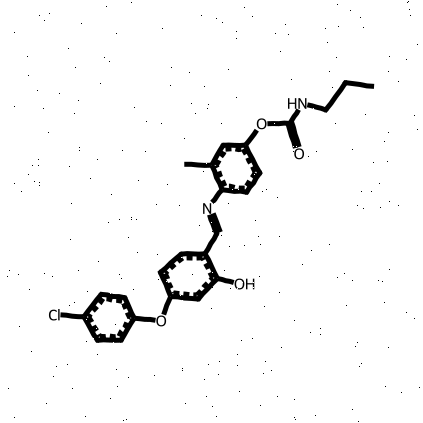 CCCNC(=O)Oc1ccc(N=Cc2ccc(Oc3ccc(Cl)cc3)cc2O)c(C)c1